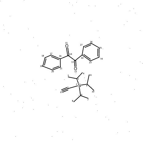 C#C[Si](C(C)C)(C(C)C)C(C)C.O=C(C(=O)c1ccccc1)c1ccccc1